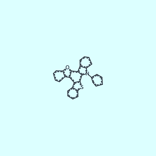 c1ccc(-n2c3ccccc3c3c4oc5ccccc5c4c4c5ccccc5sc4c32)cc1